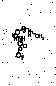 CC=CCNCc1ccc(-c2ccc3ncnc(Nc4ccc(OCc5cccc(F)c5)c(Cl)c4)c3c2)o1